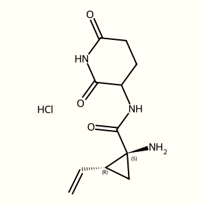 C=C[C@H]1C[C@@]1(N)C(=O)NC1CCC(=O)NC1=O.Cl